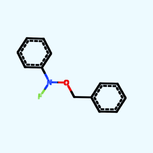 FN(OCc1ccccc1)c1ccccc1